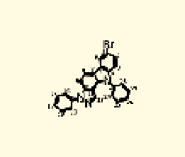 Brc1ccc2c(c1)c1ccc3c(cnn3-c3ccccc3)c1n2-c1ccccc1